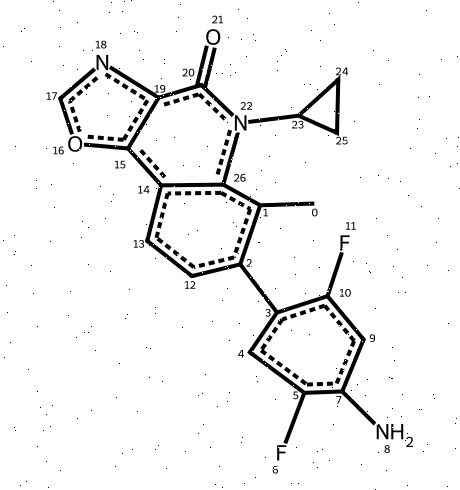 Cc1c(-c2cc(F)c(N)cc2F)ccc2c3ocnc3c(=O)n(C3CC3)c12